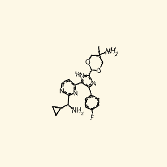 CC1(N)COC(c2nc(-c3ccc(F)cc3)c(-c3ccnc(C(N)C4CC4)n3)[nH]2)OC1